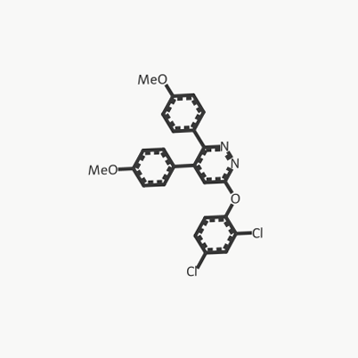 COc1ccc(-c2cc(Oc3ccc(Cl)cc3Cl)nnc2-c2ccc(OC)cc2)cc1